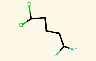 FC(F)C[CH]CC(Cl)Cl